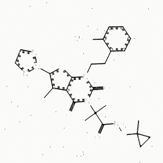 COc1ccccc1CCn1c(=O)n(C(C)(C)C(=O)NSC2(C)CC2)c(=O)c2c(C)c(-n3nccn3)sc21